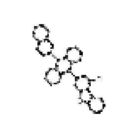 Clc1cc(-c2c3ccccc3c(-c3ccc4ccccc4c3)c3ccccc23)cc2oc3ccccc3c12